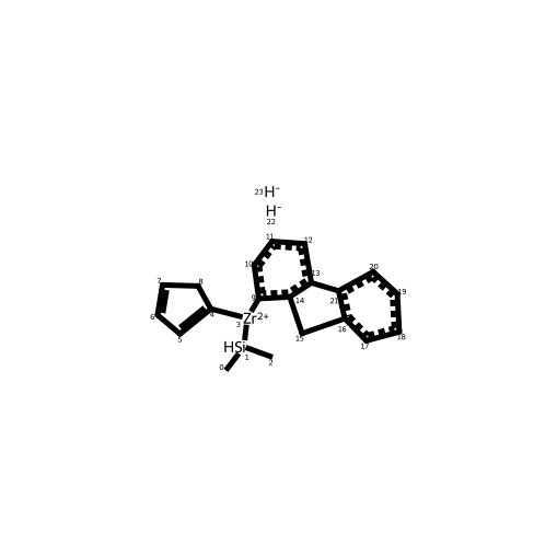 C[SiH](C)[Zr+2]([C]1=CC=CC1)[c]1cccc2c1Cc1ccccc1-2.[H-].[H-]